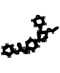 CCOc1cnc(-c2ccc(NC(=O)Oc3ccccc3)cc2)nc1N1CCOCC1